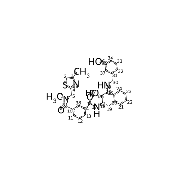 Cc1csc(CN(C)C(=O)c2cccc(C(=O)N[C@@H](Cc3ccccc3)[C@H](O)CNCc3cccc(O)c3)c2)n1